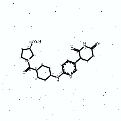 O=C1CCC(c2ccc(NC3CCC(C(=O)N4CC[C@@H](C(=O)O)C4)CC3)nc2)C(=O)N1